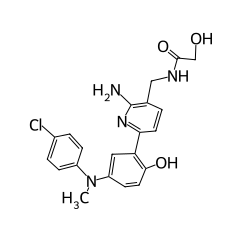 CN(c1ccc(Cl)cc1)c1ccc(O)c(-c2ccc(CNC(=O)CO)c(N)n2)c1